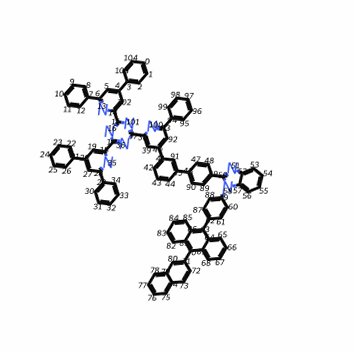 c1ccc(-c2cc(-c3ccccc3)nc(-c3nc(-c4cc(-c5ccccc5)cc(-c5ccccc5)n4)nc(-c4cc(-c5cccc(-c6ccc(-c7nc8ccccc8n7-c7ccc(-c8c9ccccc9c(-c9ccc%10ccccc%10c9)c9ccccc89)cc7)cc6)c5)cc(-c5ccccc5)n4)n3)c2)cc1